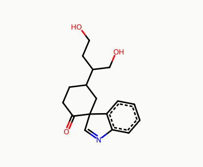 O=C1CCC(C(CO)CCO)CC12C=Nc1ccccc12